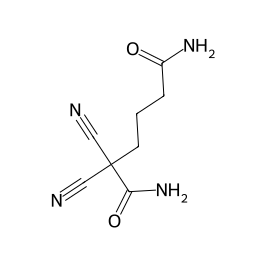 N#CC(C#N)(CCCC(N)=O)C(N)=O